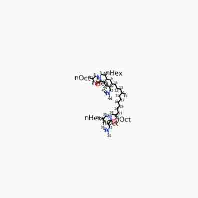 CCCCCCCCC(CCCCCC)CN(CC(CCCCCC)CCCCCCC(C)CCCCCCC(CCCCCCCC)CN(CC(CCCCCC)CCCCCCCC)C(=O)CCN(C)C)C(=O)CCCCN(C)C